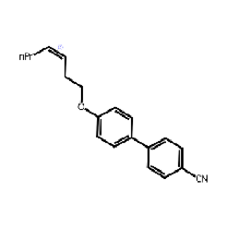 CCC/C=C\CCOc1ccc(-c2ccc(C#N)cc2)cc1